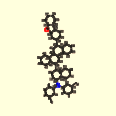 Cc1cccc(N(c2cccc(C)c2)c2ccc(-c3cc4c5ccccc5c(-c5ccc6c(c5)oc5ccccc56)cc4c4ccccc34)c3ccccc23)c1